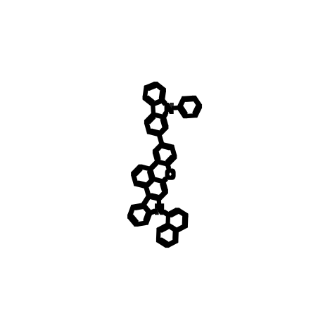 c1ccc(-n2c3ccccc3c3ccc(-c4ccc5c(c4)-c4cccc6c4c(cc4c6c6ccccc6n4-c4cccc6ccccc46)O5)cc32)cc1